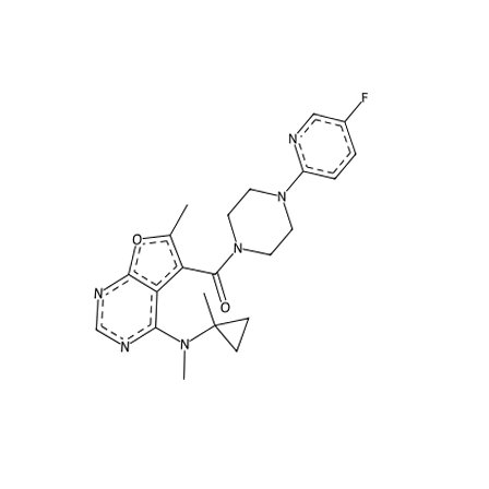 Cc1oc2ncnc(N(C)C3(C)CC3)c2c1C(=O)N1CCN(c2ccc(F)cn2)CC1